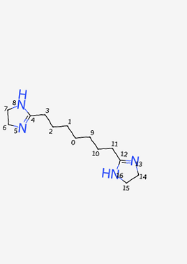 C(CCCC1=NCCN1)CCCC1=NCCN1